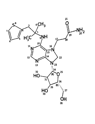 CC(C)(Cc1cccs1)Nc1ncnc2c1N(CCC(N)=O)CN2[C@@H]1O[C@H](CO)C(O)C1O